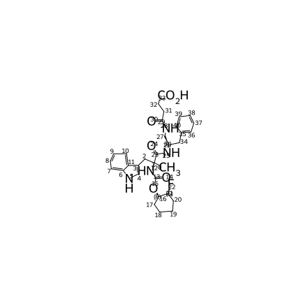 CC(Cc1c[nH]c2ccccc12)(NC(=O)O[C@@H]1CCCC[C@@H]1F)C(=O)N[C@@H](CNC(=O)CCC(=O)O)Cc1ccccc1